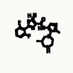 C[C@@H]1CNCCN(c2c(NC(=O)c3nc(-c4c(F)cccc4F)sc3N)cnn2C)C1